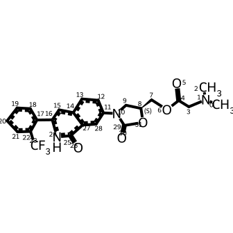 CN(C)CC(=O)OC[C@@H]1CN(c2ccc3cc(-c4ccccc4C(F)(F)F)[nH]c(=O)c3c2)C(=O)O1